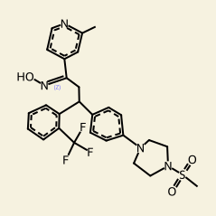 Cc1cc(/C(CC(c2ccc(N3CCN(S(C)(=O)=O)CC3)cc2)c2ccccc2C(F)(F)F)=N\O)ccn1